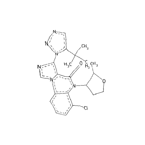 CC1OCCC1n1c(=O)c2c(-n3nncc3C(C)(C)C)ncn2c2cccc(Cl)c21